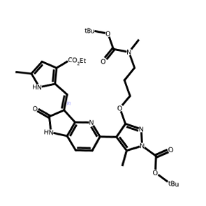 CCOC(=O)c1cc(C)[nH]c1/C=C1\C(=O)Nc2ccc(-c3c(OCCCN(C)C(=O)OC(C)(C)C)nn(C(=O)OC(C)(C)C)c3C)nc21